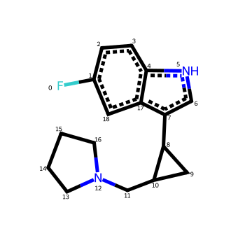 Fc1ccc2[nH]cc(C3CC3CN3CCCC3)c2c1